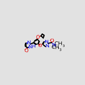 CN(C)C(=O)c1ncc(Oc2cc(OC3CCC3)cc(-c3nccc(=O)[nH]3)c2)cn1